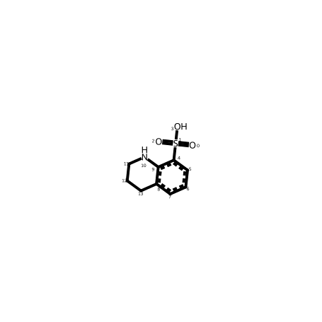 O=S(=O)(O)c1cccc2c1NCCC2